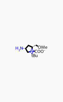 COC[C@H]1C[C@@H](N)C[N+]1(C(=O)[O-])C(C)(C)C